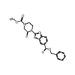 CC(C)(C)OC(=O)N1CCN(c2nc3cc(C(=O)OCc4ccccc4)ccc3o2)C(=O)C1